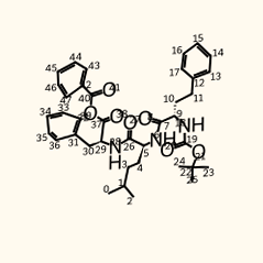 CC(C)CC[C@H](NC(=O)[C@H](CCc1ccccc1)NC(=O)OC(C)(C)C)C(=O)N[C@@H](Cc1ccccc1)C(=O)OC(=O)c1ccccc1